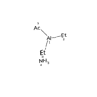 C[CH2][Al]([CH2]C)[C](C)=O.N